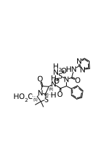 CC1(C)S[C@@H]2[C@H](NC(=O)C(c3ccccc3)N(C(=O)Nc3ncccn3)S(N)(=O)=O)C(=O)N2[C@H]1C(=O)O